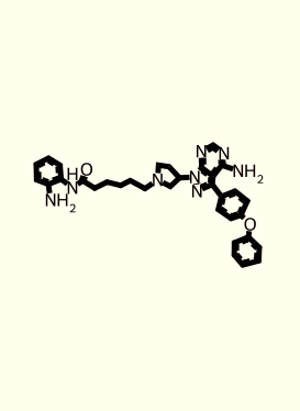 Nc1ccccc1NC(=O)CCCCCN1CCC(n2nc(-c3ccc(Oc4ccccc4)cc3)c3c(N)ncnc32)C1